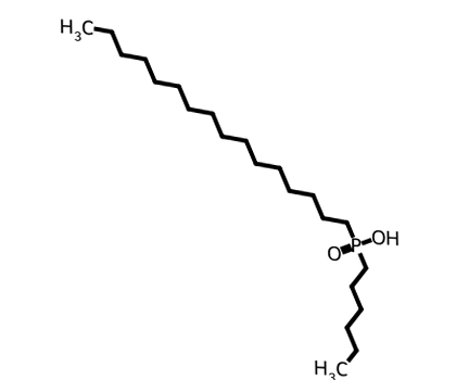 CCCCCCCCCCCCCCCCP(=O)(O)CCCCCC